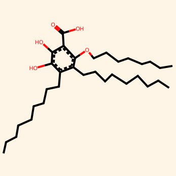 CCCCCCCCCc1c(O)c(O)c(C(=O)O)c(OCCCCCCCC)c1CCCCCCCCC